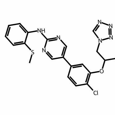 CSc1ccccc1Nc1ncc(-c2ccc(Cl)c(OC(C)Cn3cnnn3)c2)cn1